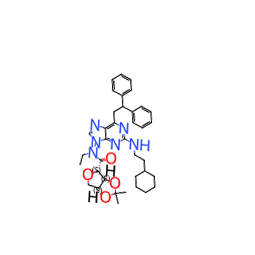 CCN(C(=O)[C@H]1OC[C@@H]2OC(C)(C)O[C@@H]21)n1cnc2c(CC(c3ccccc3)c3ccccc3)nc(NCCC3CCCCC3)nc21